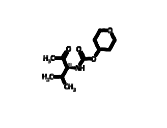 CC(=O)[C@@H](NC(=O)OC1CCOCC1)C(C)C